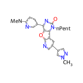 CCCCCn1c(=O)nc(-c2ccc(NC)nc2)c2oc3ncc(-c4cnn(C)c4)cc3c21